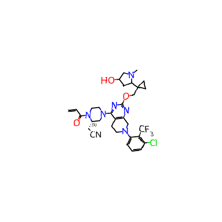 C=CC(=O)N1CCN(c2nc(OCC3(C4CC(O)CN4C)CC3)nc3c2CCN(c2cccc(Cl)c2C(F)(F)F)C3)C[C@@H]1CC#N